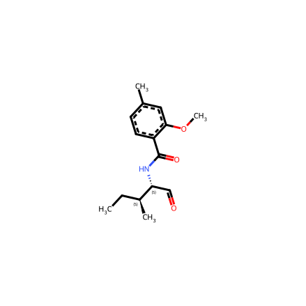 CC[C@H](C)[C@@H](C=O)NC(=O)c1ccc(C)cc1OC